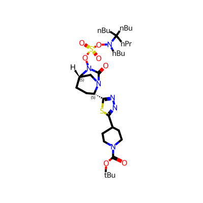 CCCCN(OS(=O)(=O)ON1C(=O)N2C[C@@H]1CC[C@H]2c1nnc(C2CCN(C(=O)OC(C)(C)C)CC2)s1)C(CCC)(CCCC)CCCC